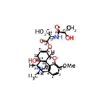 COc1ccc2c3c1O[C@H]1C(OC(=O)[C@H](NC(=O)[C@H](C)O)C(=O)O)=CC[C@@]4(O)[C@@H](C2)N(C)CC[C@]314